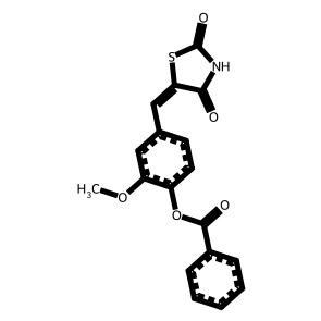 COc1cc(C=C2SC(=O)NC2=O)ccc1OC(=O)c1ccccc1